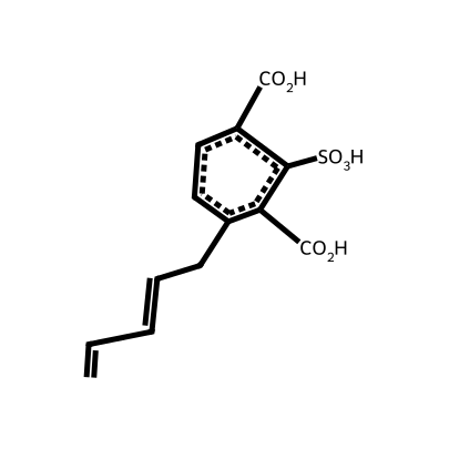 C=CC=CCc1ccc(C(=O)O)c(S(=O)(=O)O)c1C(=O)O